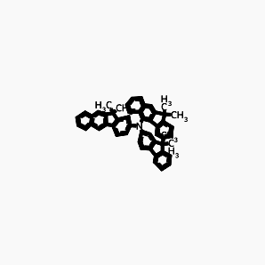 CC1(C)c2ccccc2-c2ccc(N(c3ccc4c(c3)C(C)(C)c3cc5ccccc5cc3-4)c3c4c(cc5ccccc35)C(C)(C)c3ccccc3-4)cc21